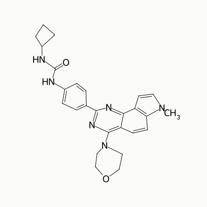 Cn1ccc2c3nc(-c4ccc(NC(=O)NC5CCC5)cc4)nc(N4CCOCC4)c3ccc21